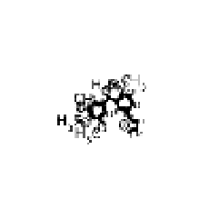 COc1cc(C(=O)c2cc(-c3ccco3)ccc2N(C)C)cc(OC)c1OC